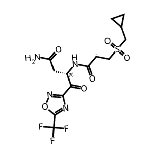 NC(=O)C[C@H](NC(=O)[CH]CS(=O)(=O)CC1CC1)C(=O)c1noc(C(F)(F)F)n1